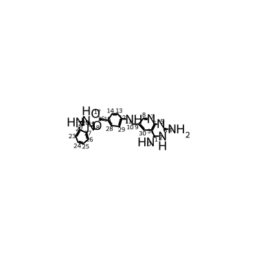 N=c1[nH]c(N)nc2ncc(CNc3ccc(C(=O)ON4NNc5ccccc54)cc3)cc12